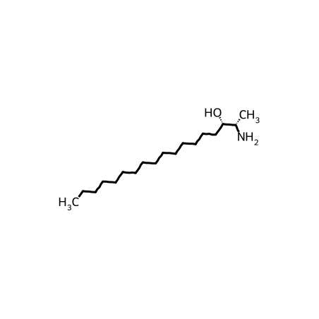 CCCCCCCCCCCCCCC[C@H](O)[C@H](C)N